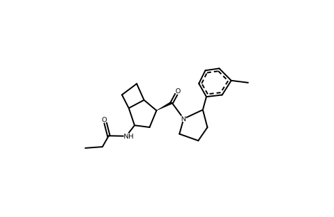 CCC(=O)NC1C[C@H](C(=O)N2CCCC2c2cccc(C)c2)C2CCC12